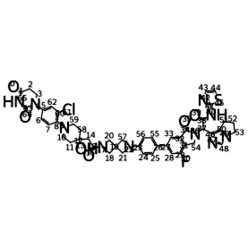 O=C1CCN(c2ccc(N3CCC(O)(CC(=O)N4CC5(C4)CN(c4ccc(-c6cc(F)c7c(c6)C(=O)N(C(C(=O)Nc6nccs6)c6ncn8c6CCC8)C7)cc4)C5)CC3)c(Cl)c2)C(=O)N1